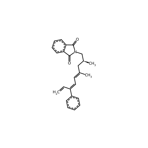 C=C/C(=C\C=C(/C)C[C@H](C)CN1C(=O)c2ccccc2C1=O)c1ccccc1